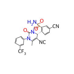 [C-]#[N+]C1=C(C)N(c2cccc(C(F)(F)F)c2)C(=O)N(C)[C@@H]1c1ccc(C#N)cc1S(N)(=O)=O